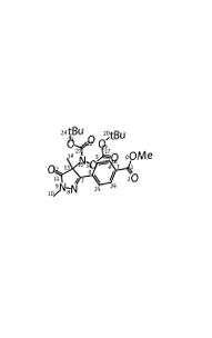 COC(=O)c1ccc(C2=NN(C)C(=O)C2(C)N(OC(=O)OC(C)(C)C)C(=O)OC(C)(C)C)cc1